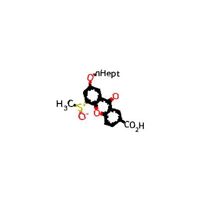 CCCCCCCOc1cc([S+](C)[O-])c2oc3ccc(C(=O)O)cc3c(=O)c2c1